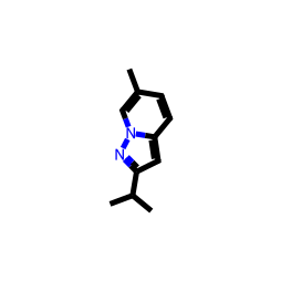 Cc1ccc2cc(C(C)C)nn2c1